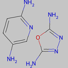 Nc1ccc(N)nc1.Nc1nnc(N)o1